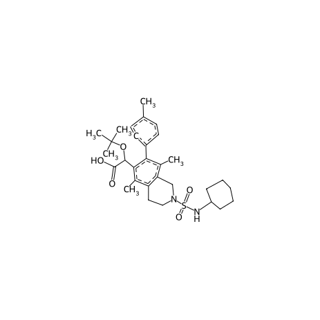 Cc1ccc(-c2c(C)c3c(c(C)c2C(OC(C)(C)C)C(=O)O)CCN(S(=O)(=O)NC2CCCCC2)C3)cc1